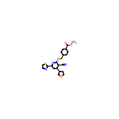 COC(=O)c1ccc(COc2nc(-c3nccs3)cc(-c3ccoc3)c2C#N)cc1